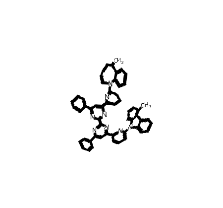 C=C1/C=C\C=CN(C2=NC(c3cc(-c4ccccc4)nc(-c4nc(-c5ccccc5)cc(-c5cccc(-n6c7ccccc7c7c(C)cccc76)n5)n4)n3)=CCC2)c2ccccc21